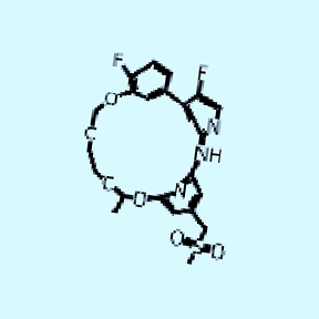 CC1CCCCCOc2cc(ccc2F)-c2cc(ncc2F)Nc2cc(CS(C)(=O)=O)cc(n2)O1